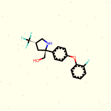 OC[C@@]1(c2ccc(Oc3ccccc3F)cc2)C[C@H](C(F)(F)F)CN1